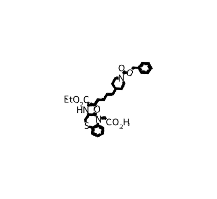 CCOC(=O)[C@@H](CCCCCC1CCN(C(=O)OCc2ccccc2)CC1)NC1CSc2ccccc2N(CC(=O)O)C1=O